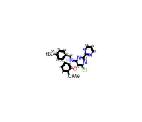 COc1ccccc1Oc1c(Cl)nc(-c2ncccn2)nc1NCc1ccc(C(C)(C)C)cc1